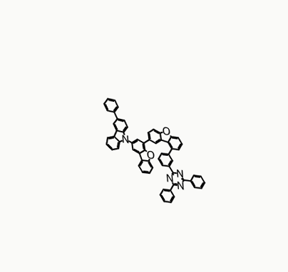 c1ccc(-c2ccc3c(c2)c2ccccc2n3-c2cc(-c3ccc4oc5cccc(-c6cccc(-c7nc(-c8ccccc8)nc(-c8ccccc8)n7)c6)c5c4c3)c3oc4ccccc4c3c2)cc1